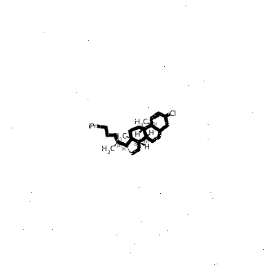 CC(C)CCC[C@@H](C)[C@H]1CC[C@H]2[C@@H]3CCC4CC(Cl)C=C[C@]4(C)[C@H]3CC[C@]12C